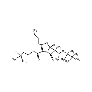 CC(O[Si](C)(C)C(C)(C)C)[C@@]1(C)C(=O)N2C(C(=O)OCC[Si](C)(C)C)=C(/C=C/CN)S[C@@H]21